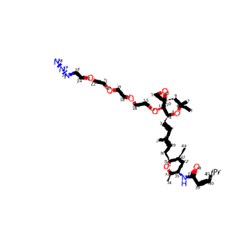 CC(/C=C/[C@H]1OC(C)(C)C[C@@]2(CO2)[C@@H]1OCCOCCOCCOCCN=[N+]=[N-])=C\C[C@@H]1O[C@H](C)[C@H](NC(=O)/C=C\C(C)C)C[C@@H]1C